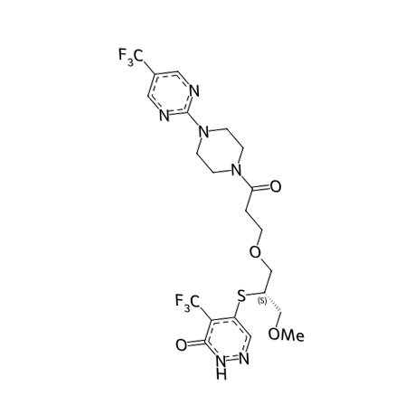 COC[C@@H](COCCC(=O)N1CCN(c2ncc(C(F)(F)F)cn2)CC1)Sc1cn[nH]c(=O)c1C(F)(F)F